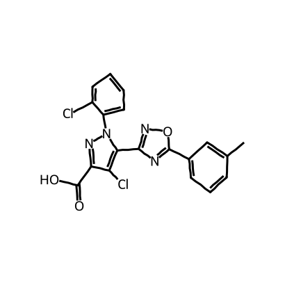 Cc1cccc(-c2nc(-c3c(Cl)c(C(=O)O)nn3-c3ccccc3Cl)no2)c1